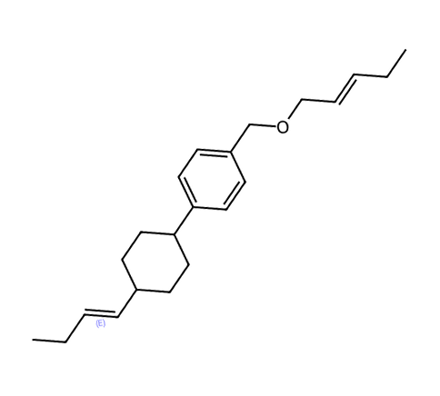 CCC=CCOCc1ccc(C2CCC(/C=C/CC)CC2)cc1